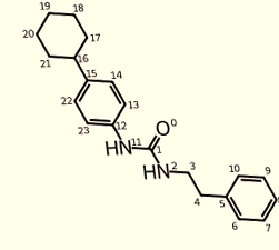 O=C(NCCc1ccccc1)Nc1ccc(C2CCCCC2)cc1